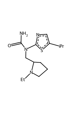 CCN1CCCC1CN(C(N)=O)c1ncc(C(C)C)s1